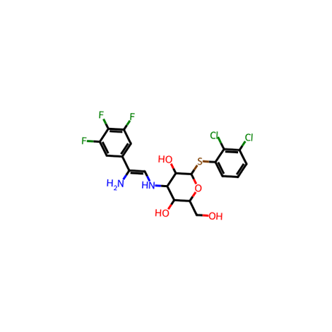 N/C(=C\NC1C(O)C(CO)OC(Sc2cccc(Cl)c2Cl)C1O)c1cc(F)c(F)c(F)c1